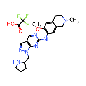 COc1cc2c(cc1Nc1ncc3cnn(C[C@H]4CCCN4)c3n1)CN(C)CC2.O=C(O)C(F)(F)F